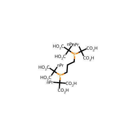 CCCC(C(=O)O)(C(=O)O)P(CCCP(C(CCC)(C(=O)O)C(=O)O)C(CCC)(C(=O)O)C(=O)O)C(CCC)(C(=O)O)C(=O)O